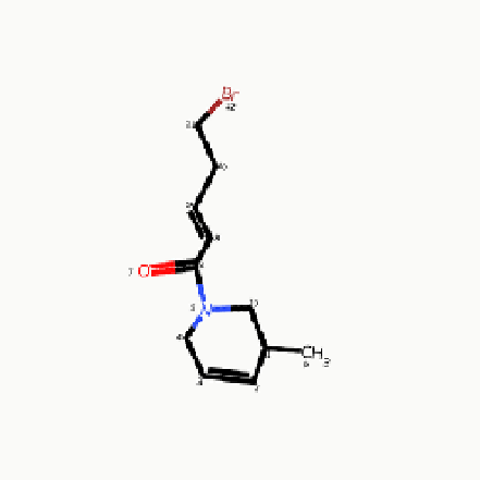 CC1C=CCN(C(=O)C=CCCBr)C1